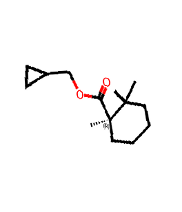 CC1(C)CCCC[C@@]1(C)C(=O)OCC1CC1